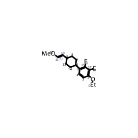 CCOc1ccc(C2CCC(/C=C/OC)CC2)c(F)c1F